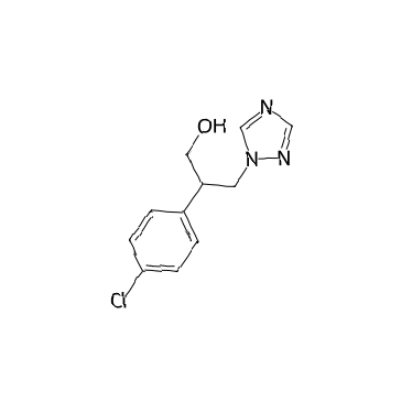 OCC(Cn1cncn1)c1ccc(Cl)cc1